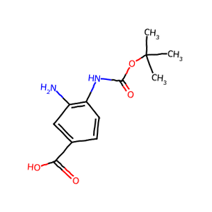 CC(C)(C)OC(=O)Nc1ccc(C(=O)O)cc1N